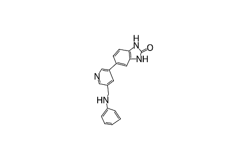 O=c1[nH]c2ccc(-c3cncc(CNc4ccccc4)c3)cc2[nH]1